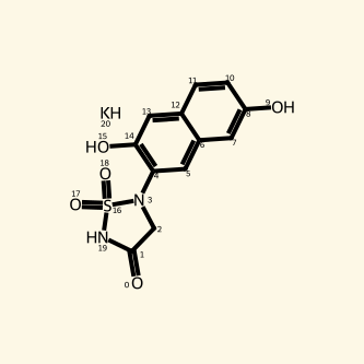 O=C1CN(c2cc3cc(O)ccc3cc2O)S(=O)(=O)N1.[KH]